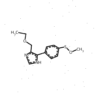 CCOCc1nc[nH]c1-c1ccc(SOC)cc1